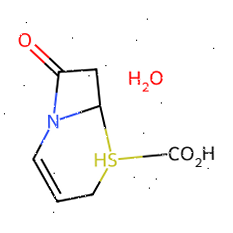 O.O=C1CC2N1C=CC[SH]2C(=O)O